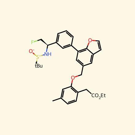 CCOC(=O)Cc1ccc(C)cc1OCc1cc(-c2cccc([C@H](CF)N[S@+]([O-])C(C)(C)C)c2)c2occc2c1